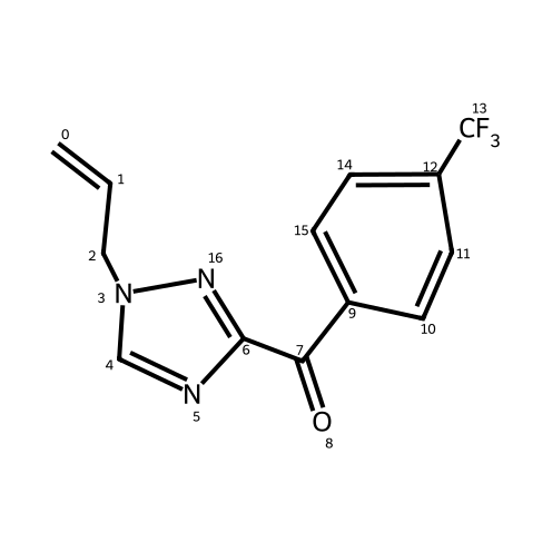 C=CCn1cnc(C(=O)c2ccc(C(F)(F)F)cc2)n1